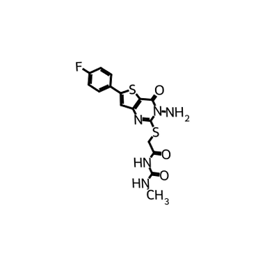 CNC(=O)NC(=O)CSc1nc2cc(-c3ccc(F)cc3)sc2c(=O)n1N